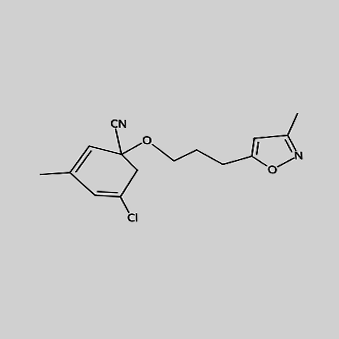 CC1=CC(C#N)(OCCCc2cc(C)no2)CC(Cl)=C1